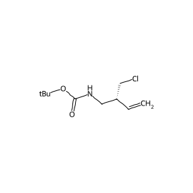 C=C[C@@H](CCl)CNC(=O)OC(C)(C)C